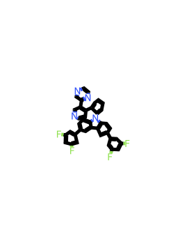 Fc1cc(F)cc(-c2ccc3c(c2)c2cc(-c4cc(F)cc(F)c4)ccc2n3-c2ccccc2-c2ccncc2-c2cnccn2)c1